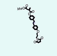 C=C(CC(=O)OC)C(=O)Oc1ccc(/C=C/c2ccc(OCCCN3C(=O)C=CC3=O)cc2)cc1